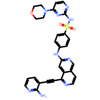 Nc1ncccc1C#Cc1nccc2cnc(Nc3ccc(S(=O)(=O)Nc4nccc(N5CCOCC5)n4)cc3)cc12